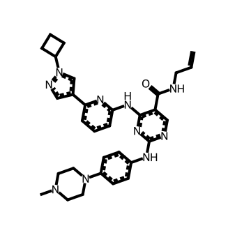 C=CCNC(=O)c1cnc(Nc2ccc(N3CCN(C)CC3)cc2)nc1Nc1cccc(-c2cnn(C3CCC3)c2)n1